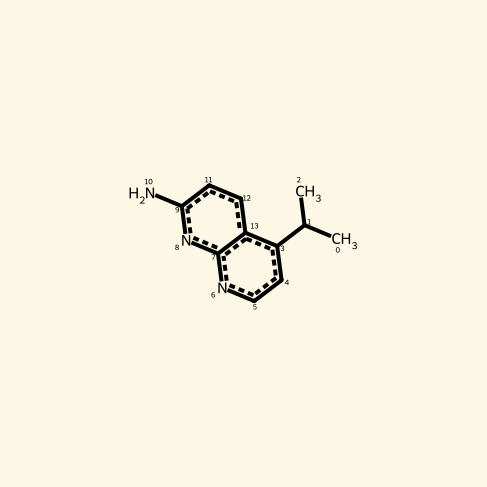 CC(C)c1ccnc2nc(N)ccc12